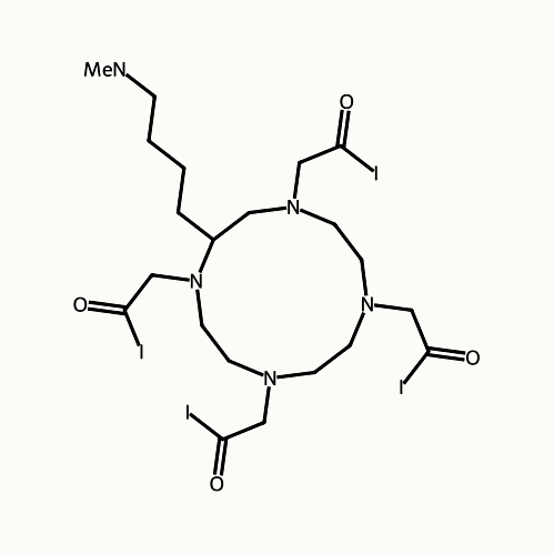 CNCCCCC1CN(CC(=O)I)CCN(CC(=O)I)CCN(CC(=O)I)CCN1CC(=O)I